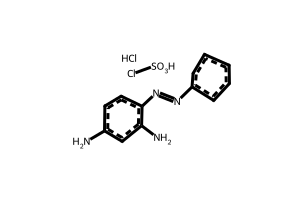 Cl.Nc1ccc(/N=N/c2ccccc2)c(N)c1.O=S(=O)(O)Cl